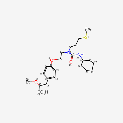 CCCSCCCN(CCOc1ccc(CC(OCC)C(=O)O)cc1)C(=O)NC1CCCCC1